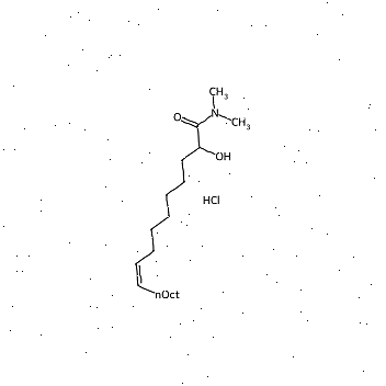 CCCCCCCC/C=C\CCCCCCC(O)C(=O)N(C)C.Cl